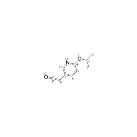 CC(C)Oc1ccc(C=C=O)cn1